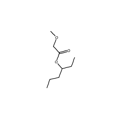 CCCC(CC)OC(=O)COC